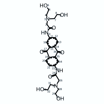 O=C(CN(CCO)CCO)Nc1ccc2c(c1)C(=O)c1ccc(NC(=O)CN(CCO)CCO)cc1C2=O